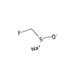 [Na+].[O-]SCF